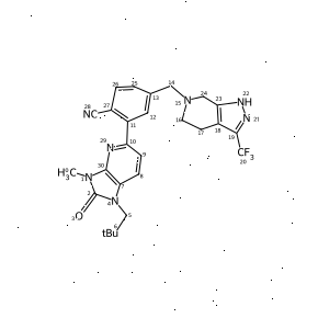 Cn1c(=O)n(CC(C)(C)C)c2ccc(-c3cc(CN4CCc5c(C(F)(F)F)n[nH]c5C4)ccc3C#N)nc21